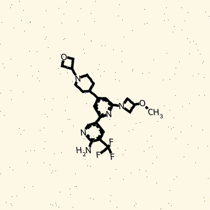 COC1CN(c2cc(C3CCN(C4COC4)CC3)cc(-c3cnc(N)c(C(F)(F)F)c3)n2)C1